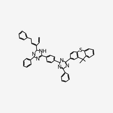 C=C/C(=C\Cc1ccccc1)C1N=C(c2ccccc2)N=C(c2ccc(-c3nc(-c4ccccc4)nc(-c4ccc5c(c4)C(C)(C)c4ccccc4S5)n3)cc2)N1